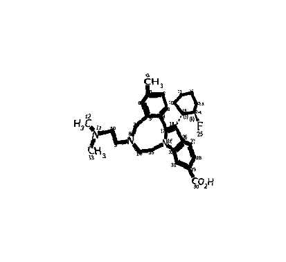 Cc1ccc2c(c1)CN(CCN(C)C)CCn1c-2c([C@@H]2CCCC[C@H]2F)c2ccc(C(=O)O)cc21